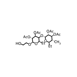 CC[C@H]1O[C@@H](OCCO)[C@H](OC(C)=O)[C@@H](OC(C)=O)C1O[C@H]1O[C@H](CC)[C@@H](C)[C@H](OC(C)=O)[C@H]1OC(C)=O